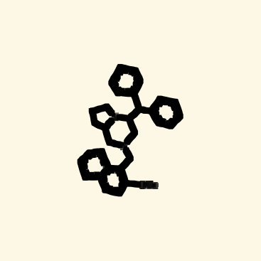 COc1ccc2ccccc2c1CN1CC2CCCN2C(C(c2ccccc2)c2ccccc2)C1